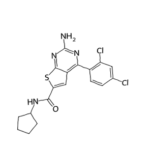 Nc1nc(-c2ccc(Cl)cc2Cl)c2cc(C(=O)NC3CCCC3)sc2n1